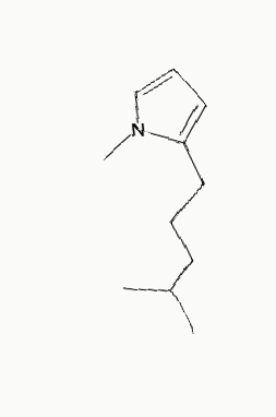 CC(C)CCCc1cccn1C